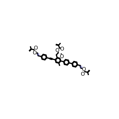 C=C(C)C(=O)O/C=C/c1ccc(C#Cc2cc(C)c(-c3ccc(-c4ccc(/C=C/OC(=O)C(=C)C)cc4)cc3)c(OC)c2CCOC(=O)C(=C)C)cc1